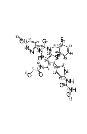 COCC(=O)N(C)Cc1c(-c2ccc(NC(=O)NOC)nc2)sc2c1c(=O)n(-c1ccc(OC)nn1)c(=O)n2Cc1c(F)cccc1F